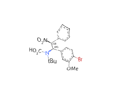 COc1cc([C@H]([C@H](c2ccccc2)[N+](=O)[O-])N(C(=O)O)C(C)(C)C)ccc1Br